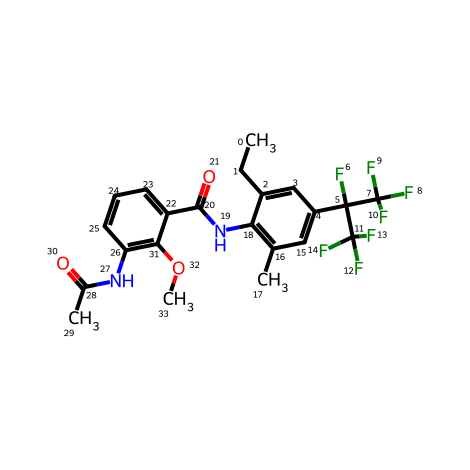 CCc1cc(C(F)(C(F)(F)F)C(F)(F)F)cc(C)c1NC(=O)c1cccc(NC(C)=O)c1OC